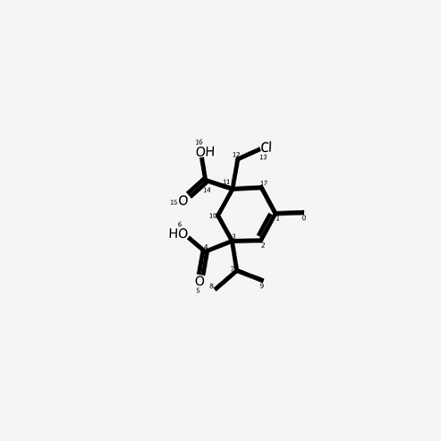 CC1=CC(C(=O)O)(C(C)C)CC(CCl)(C(=O)O)C1